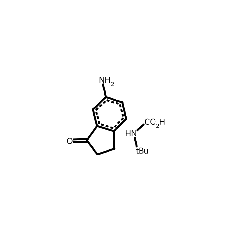 CC(C)(C)NC(=O)O.Nc1ccc2c(c1)C(=O)CC2